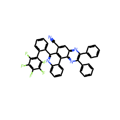 N#Cc1cc2nc(-c3ccccc3)c(-c3ccccc3)nc2c2c1c(-c1ccccc1-c1c(F)c(F)c(F)c(F)c1F)nc1ccccc12